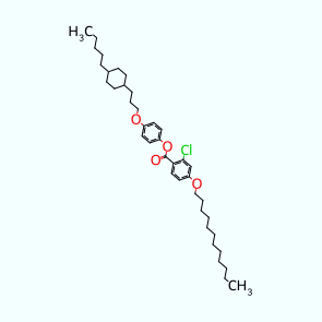 CCCCCCCCCCCCOc1ccc(C(=O)Oc2ccc(OCCCC3CCC(CCCCC)CC3)cc2)c(Cl)c1